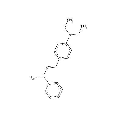 CCN(CC)c1ccc(C=N[C@@H](C)c2ccccc2)cc1